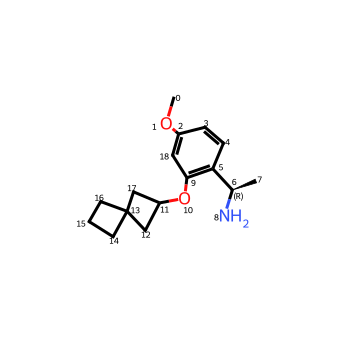 COc1ccc([C@@H](C)N)c(OC2CC3(CCC3)C2)c1